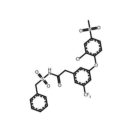 CS(=O)(=O)c1ccc(Oc2cc(CC(=O)NS(=O)(=O)Cc3ccccc3)cc(C(F)(F)F)c2)c(Cl)c1